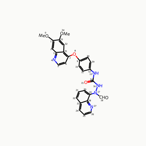 COc1cc2nccc(Oc3ccc(NC(=O)NN(C=O)c4cccc5cccnc45)cc3)c2cc1OC